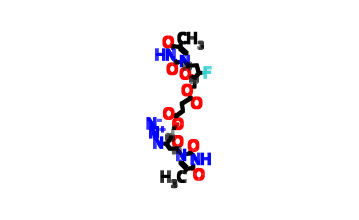 Cc1cn([C@@H]2CC(N=[N+]=[N-])[C@H](COC(=O)CCC(=O)OC[C@H]3O[C@@H](n4cc(C)c(=O)[nH]c4=O)CC3F)O2)c(=O)[nH]c1=O